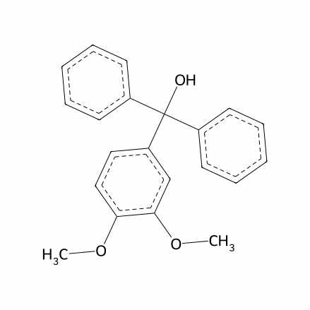 COc1ccc(C(O)(c2ccccc2)c2ccccc2)cc1OC